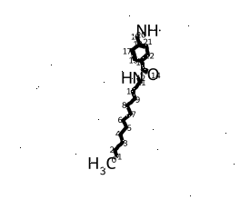 CCCCCCCCCCCCNC(=O)c1ccc(C[NH])cc1